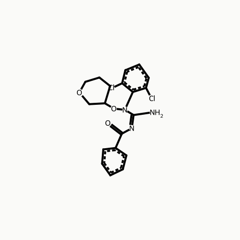 NC(=NC(=O)c1ccccc1)N(OC1CCCOC1)c1c(Cl)cccc1Cl